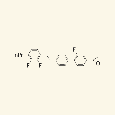 CCCc1ccc(CCc2ccc(-c3ccc(C4CO4)cc3F)cc2)c(F)c1F